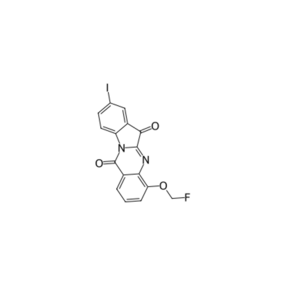 O=C1c2cc(I)ccc2-n2c1nc1c(OCF)cccc1c2=O